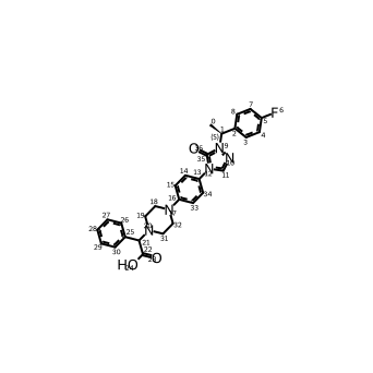 C[C@@H](c1ccc(F)cc1)n1ncn(-c2ccc(N3CCN(C(C(=O)O)c4ccccc4)CC3)cc2)c1=O